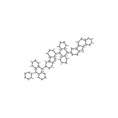 c1ccc(-c2c3ccccc3c(-c3ccc4oc5c(-c6c7ccccc7c(-c7ccc8oc9c%10ccccc%10ccc9c8c7)c7ccccc67)cccc5c4c3)c3ccccc23)cc1